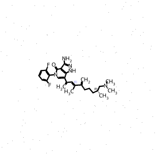 C=C(CCC[C@@H](C)CN(C)C)/C(C)=C/C(=C)c1cn(-c2c(F)cccc2F)c(=O)c2c(N)n[nH]c12